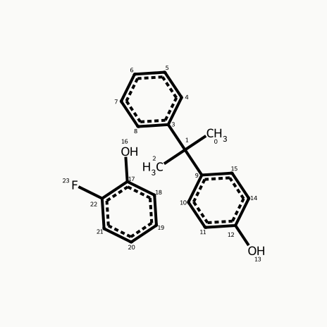 CC(C)(c1ccccc1)c1ccc(O)cc1.Oc1ccccc1F